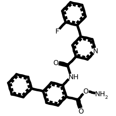 NOC(=O)c1ccc(-c2ccccc2)cc1NC(=O)c1cncc(-c2ccccc2F)c1